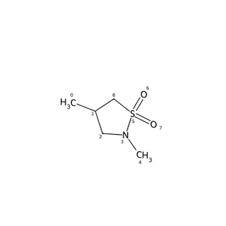 CC1CN(C)S(=O)(=O)C1